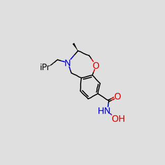 CC(C)CN1Cc2ccc(C(=O)NO)cc2OC[C@@H]1C